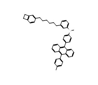 Cc1ccc(-c2c3ccccc3c(-c3ccc(N(C)c4cccc(CCCCCCc5ccc6c(c5)CC6)c4)cc3)c3ccccc23)cc1